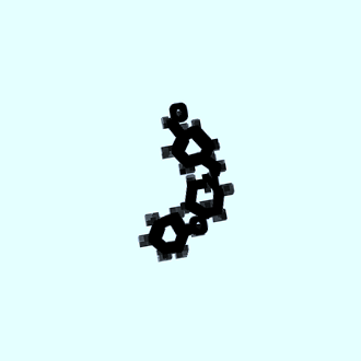 O=Cc1ccc(CN2CCC(Oc3ccccc3)CC2)cc1